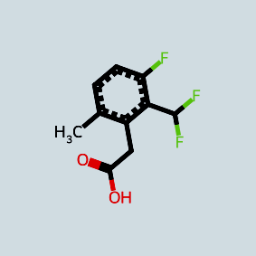 Cc1ccc(F)c(C(F)F)c1CC(=O)O